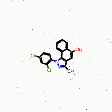 Cc1nn(-c2ccc(Cl)cc2Cl)c2c1cc(O)c1ccccc12